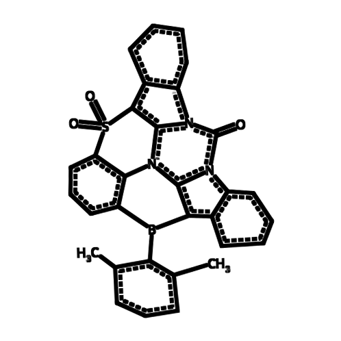 Cc1cccc(C)c1B1c2cccc3c2-n2c4c1c1ccccc1n4c(=O)n1c4ccccc4c(c21)S3(=O)=O